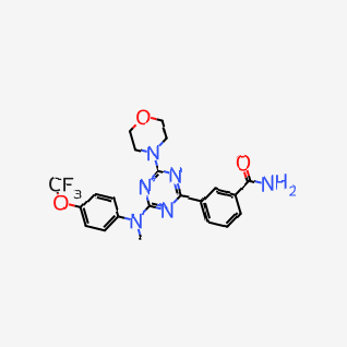 CN(c1ccc(OC(F)(F)F)cc1)c1nc(-c2cccc(C(N)=O)c2)nc(N2CCOCC2)n1